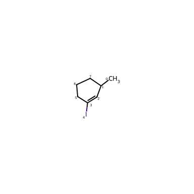 CC1C=C(I)CCC1